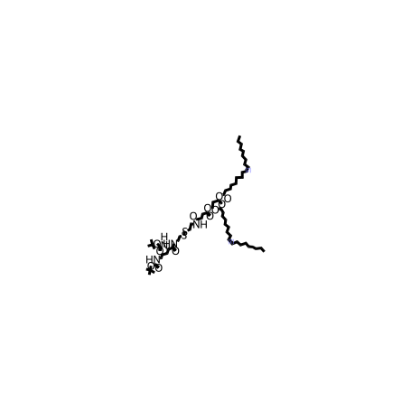 CCCCCCCC/C=C\CCCCCCCC(=O)OC(CCOC(=O)CCC(=O)NCCSSCCNC(=O)C(CCCNC(=O)OC(C)(C)C)NC(=O)OC(C)(C)C)OC(=O)CCCCCCC/C=C\CCCCCCCC